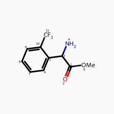 COC(=O)C(N)c1ccccc1C(F)(F)F